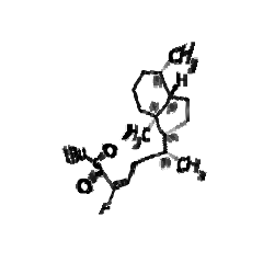 C[C@H](CC=C(F)S(=O)(=O)C(C)(C)C)[C@H]1CC[C@H]2[C@@H](C)CCC[C@]12C